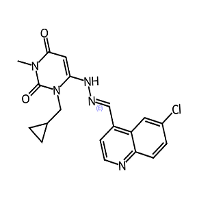 Cn1c(=O)cc(N/N=C/c2ccnc3ccc(Cl)cc23)n(CC2CC2)c1=O